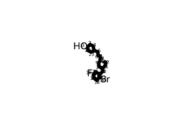 OC1CCC(CCCN2CCC(Cc3cc(F)ccc3Br)CC2)CC1